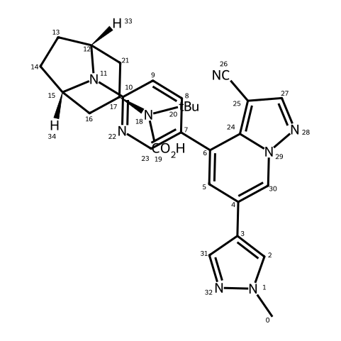 Cn1cc(-c2cc(-c3ccc(N4[C@@H]5CC[C@H]4C[C@H](N(C(=O)O)C(C)(C)C)C5)nc3)c3c(C#N)cnn3c2)cn1